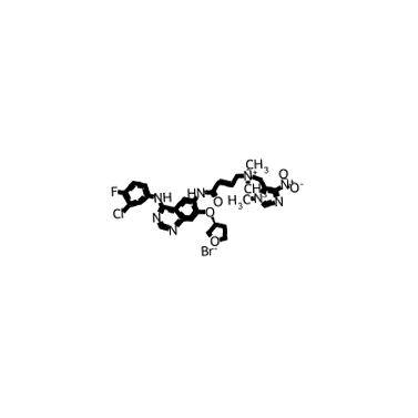 Cn1cnc([N+](=O)[O-])c1C[N+](C)(C)C/C=C/C(=O)Nc1cc2c(Nc3ccc(F)c(Cl)c3)ncnc2cc1O[C@H]1CCOC1.[Br-]